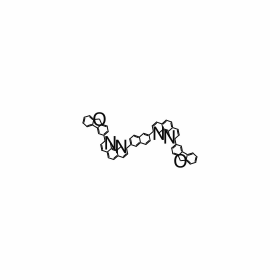 c1ccc2c(c1)oc1ccc(-c3ccc4ccc5ccc(-c6ccc7cc(-c8ccc9ccc%10ccc(-c%11ccc%12oc%13ccccc%13c%12c%11)nc%10c9n8)ccc7c6)nc5c4n3)cc12